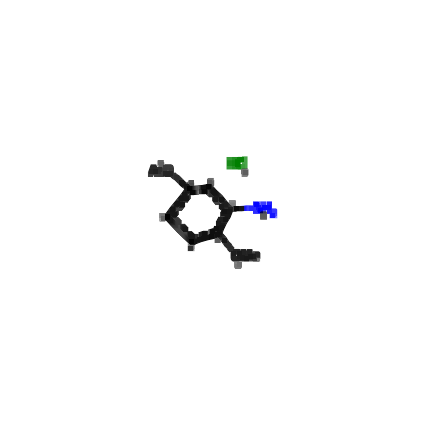 COc1ccc(OC(C)=O)cc1N.Cl